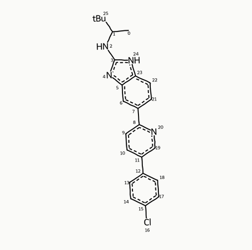 CC(Nc1nc2cc(-c3ccc(-c4ccc(Cl)cc4)cn3)ccc2[nH]1)C(C)(C)C